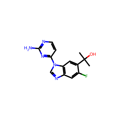 CC(C)(O)c1cc2c(cc1F)ncn2-c1ccnc(N)n1